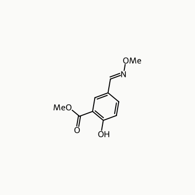 CON=Cc1ccc(O)c(C(=O)OC)c1